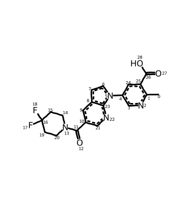 Cc1ncc(-n2ccc3cc(C(=O)N4CCC(F)(F)CC4)cnc32)cc1C(=O)O